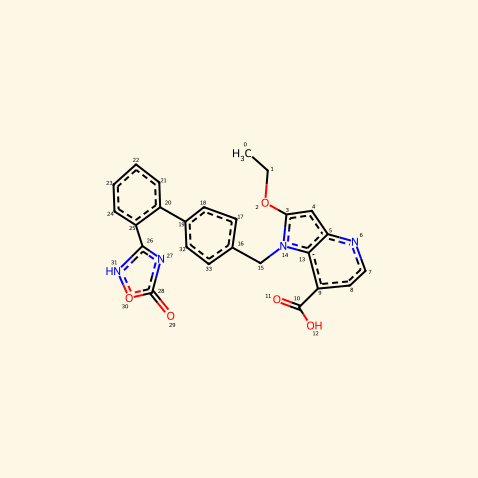 CCOc1cc2nccc(C(=O)O)c2n1Cc1ccc(-c2ccccc2-c2nc(=O)o[nH]2)cc1